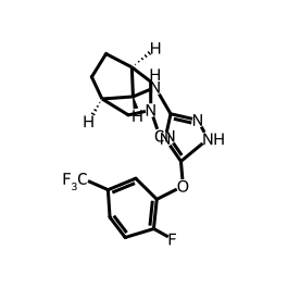 N#CN1C[C@H]2CC[C@@H](C1)[C@@H]2Nc1n[nH]c(Oc2cc(C(F)(F)F)ccc2F)n1